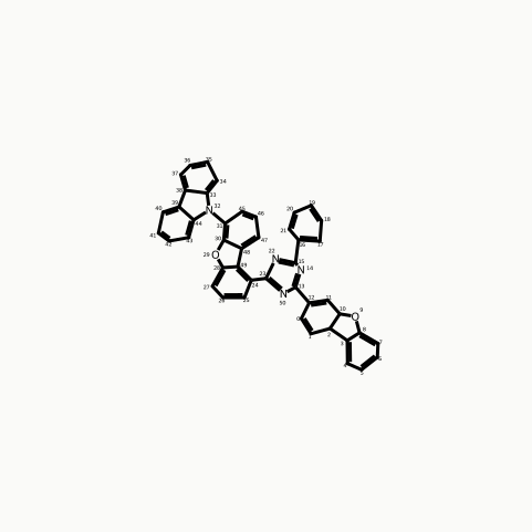 C1=CC2c3ccccc3OC2C=C1c1nc(-c2ccccc2)nc(-c2cccc3oc4c(-n5c6ccccc6c6ccccc65)cccc4c23)n1